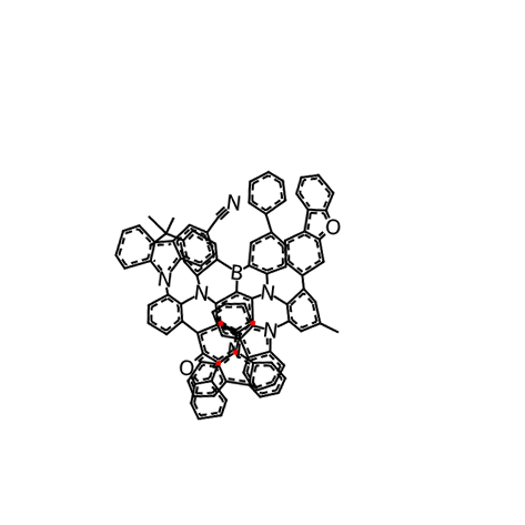 Cc1cc(-c2ccc3c(c2)oc2ccccc23)c(N2c3ccc(-c4ccccc4)cc3B3c4ccc(C(C)(C)C)cc4N(c4c(-c5cccc6c5oc5ccccc56)cccc4-n4c5ccccc5c5cc(C#N)ccc54)c4cc(-n5c6ccccc6c6ccccc65)cc2c43)c(-n2c3ccccc3c3ccccc32)c1